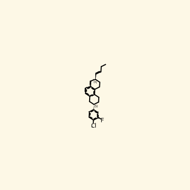 CCC=C[C@H]1CCc2c(ccc3c2CC[C@H](c2ccc(Cl)c(F)c2)C3)C1